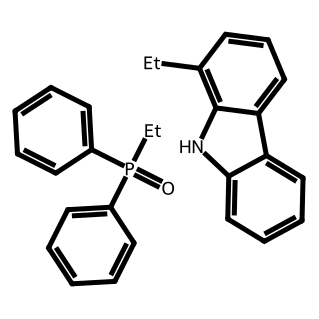 CCP(=O)(c1ccccc1)c1ccccc1.CCc1cccc2c1[nH]c1ccccc12